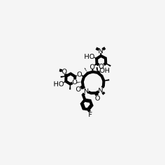 CO[C@]1(C)C[C@H](O[C@H]2[C@H](C)[C@@H](O[C@@H]3O[C@H](C)C[C@H](N(C)C)[C@H]3O)[C@](C)(O)C[C@@H](C)CN(C)C(=O)CN(Cc3ccc(F)cc3)C(=O)[C@@H]2C)O[C@@H](C)[C@@H]1O